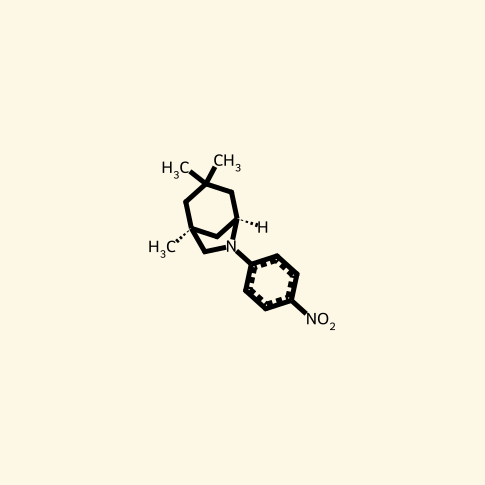 CC1(C)C[C@@H]2C[C@@](C)(CN2c2ccc([N+](=O)[O-])cc2)C1